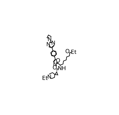 CCC(=O)CCCCCC(NC(=O)[C@H]1CC12CCN(CC)CC2)c1ncc(-c2ccc(-c3cnc(N4CCC4)nc3)cc2)o1